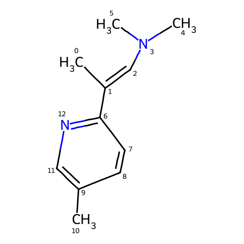 C/C(=C\N(C)C)c1ccc(C)cn1